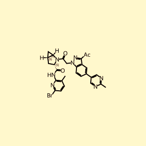 CC(=O)c1nn(CC(=O)N2[C@H](C(=O)Nc3nc(Br)ccc3C)C[C@@H]3C[C@@H]32)c2ccc(-c3cnc(C)nc3)cc12